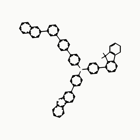 CC1(C)C2=C(CCC=C2)c2cccc(-c3ccc(N(c4ccc(-c5ccc(-c6cccc(-c7ccc8ccccc8c7)c6)cc5)cc4)c4ccc(-c5ccc6c(c5)oc5ccccc56)cc4)cc3)c21